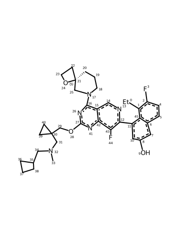 CCc1c(F)ccc2cc(O)cc(-c3ncc4c(N5CCC[C@]6(CCO6)C5)nc(OCC5(CN(C)CC6CCC6)CC5)nc4c3F)c12